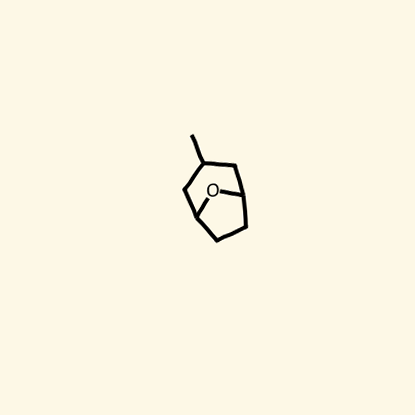 CC1CC2CCC(C1)O2